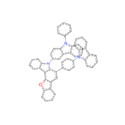 c1ccc(-n2c3ccccc3c3cc(-n4c5ccccc5c5c6oc7ccccc7c6cc(-c6ccc(-n7c8ccccc8c8ccccc87)cc6)c54)ccc32)cc1